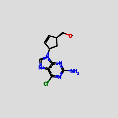 Nc1nc(Cl)c2ncn([C@H]3C=C[C@@H](C[O])C3)c2n1